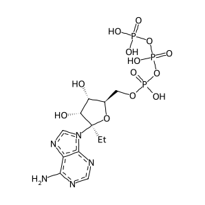 CC[C@@]1(n2cnc3c(N)ncnc32)O[C@H](COP(=O)(O)OP(=O)(O)OP(=O)(O)O)[C@@H](O)[C@H]1O